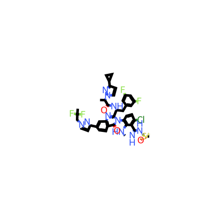 CNc1c(-n2c(C(Cc3cc(F)cc(F)c3)NC(=O)C(C)n3ccc(C4CC4)n3)nc3cc(-c4ccn(CC(C)(F)F)n4)ccc3c2=O)ccc(Cl)c1C(=N)N[S+](C)[O-]